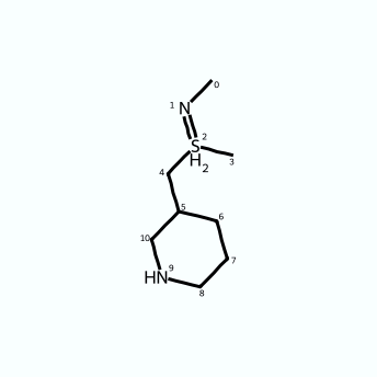 C/N=[SH2](\C)CC1CCCNC1